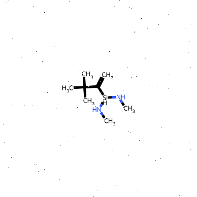 C=C([SiH](NC)NC)C(C)(C)C